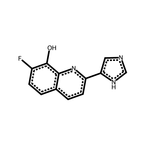 Oc1c(F)ccc2ccc(-c3cnc[nH]3)nc12